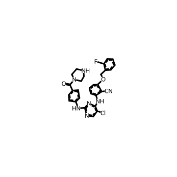 N#Cc1c(Nc2nc(Nc3ccc(C(=O)N4CCNCC4)cc3)ncc2Cl)cccc1OCc1ccccc1F